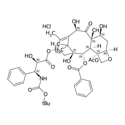 CC(=O)O[C@@]12CO[C@@H]1C[C@H](O)[C@@]1(C)C(=O)[C@H](O)C3=C(C)[C@@H](OC(=O)[C@H](O)[C@@H](NC(=O)OC(C)(C)C)c4ccccc4)C[C@@](O)([C@@H](OC(=O)c4ccccc4)[C@H]21)C3(C)C.Cl